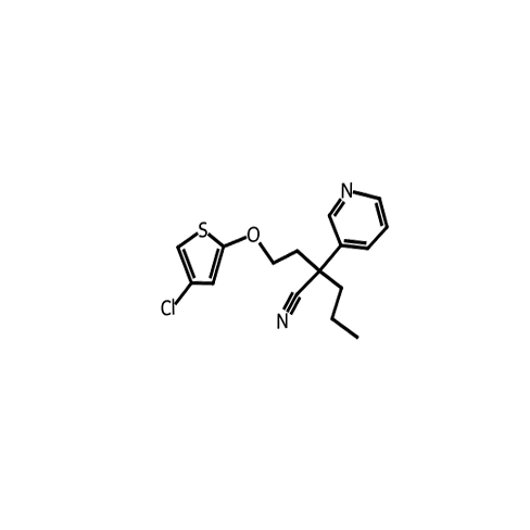 CCCC(C#N)(CCOc1cc(Cl)cs1)c1cccnc1